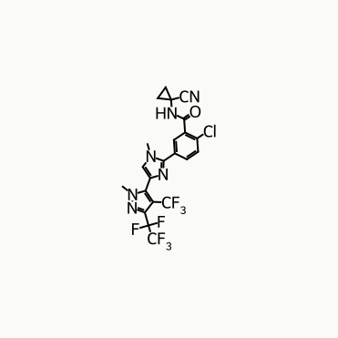 Cn1cc(-c2c(C(F)(F)F)c(C(F)(F)C(F)(F)F)nn2C)nc1-c1ccc(Cl)c(C(=O)NC2(C#N)CC2)c1